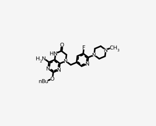 CCCCOc1nc(N)c2c(n1)N(Cc1cnc(N3CCN(C)CC3)c(F)c1)CC(=O)N2